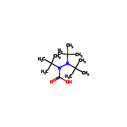 CC(C)(C)N(C(=O)O)N(C(C)(C)C)C(C)(C)C